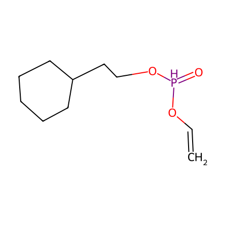 C=CO[PH](=O)OCCC1CCCCC1